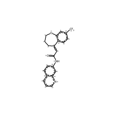 O=C(C=C1CCCOc2cc(C(F)(F)F)ccc21)Nc1ccc2cccnc2c1